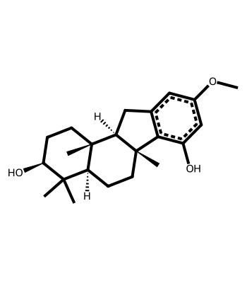 COc1cc(O)c2c(c1)C[C@@H]1[C@@]3(C)CC[C@H](O)C(C)(C)[C@@H]3CC[C@@]21C